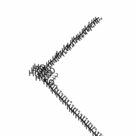 O=[N+]([O-])O.O=[N+]([O-])O.O=[N+]([O-])O.O=[N+]([O-])O.O=[N+]([O-])O.[K+].[K+].[K+].[K+].[K+].[K+].[K+].[K+].[K+].[K+].[K+].[K+].[K+].[K+].[K+].[K+].[K+].[K+].[K+].[K+].[K+].[K+].[K+].[K+].[K+].[K+].[K+].[K+].[K+].[K+].[K+].[K+].[K+].[K+].[K+].[K+].[K+].[K+].[K+].[K+].[K+].[K+].[K+].[K+].[K+].[K+].[K+].[K+].[K+].[K+].[K+].[K+].[K+]